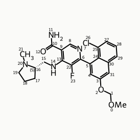 COCOc1cc(-c2ncc(C(N)=O)c(NC[C@@H]3CCCN3C)c2F)c2c(Cl)cccc2c1